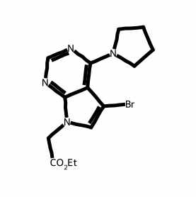 CCOC(=O)Cn1cc(Br)c2c(N3CCCC3)ncnc21